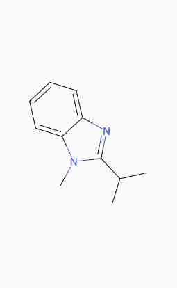 CC(C)c1nc2ccccc2n1C